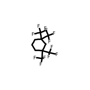 FC(F)(F)C1(C(F)(F)F)CCCC(C(F)(F)F)(C(F)(F)F)C1